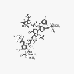 Cc1cc(CC(=O)OC(C)(C)C)c(C(C)(C)CC(=O)N(Cc2nn(CC(F)(F)F)c3c(-c4ccc(C#CC(C)(C)S(C)(=O)=O)nc4[C@H](Cc4cc(F)cc(F)c4)NC(=O)Cn4nc(C(F)(F)F)c5c4C(F)(F)[C@@H]4C[C@H]54)ccc(Cl)c23)[SH](=O)=O)c(OP(=O)(OC(C)C)OC(C)C)c1